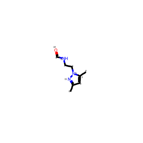 Cc1cc(C)n(CCN[C]=O)n1